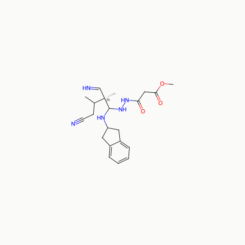 COC(=O)CC(=O)NNC(NC1Cc2ccccc2C1)[C@](C)(C=N)C(C)CC#N